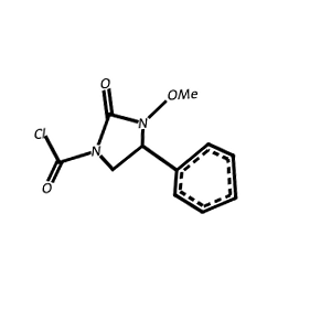 CON1C(=O)N(C(=O)Cl)CC1c1ccccc1